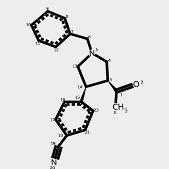 CC(=O)[C@@H]1CN(Cc2ccccc2)C[C@@H]1c1ccc(C#N)cc1